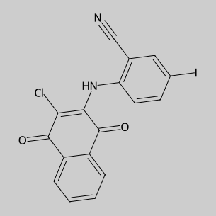 N#Cc1cc(I)ccc1NC1=C(Cl)C(=O)c2ccccc2C1=O